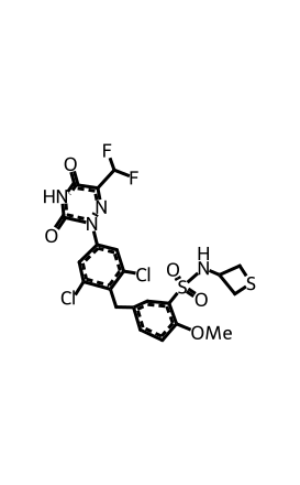 COc1ccc(Cc2c(Cl)cc(-n3nc(C(F)F)c(=O)[nH]c3=O)cc2Cl)cc1S(=O)(=O)NC1CSC1